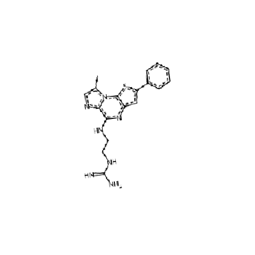 Cc1cnc2c(NCCNC(=N)N)nc3cc(-c4ccccc4)sc3n12